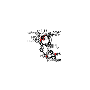 CCCCCCOC(CNC1(C)CC(OC2C(Oc3c4cc5cc3Oc3ccc(cc3Cl)[C@@H](O)[C@@H]3NC(=O)C(NC(=O)C5NC(=O)C(CC(N)=O)NC(=O)[C@@H](NC(=O)[C@@H](CC(C)C)NC)C(O)c5ccc(c(Cl)c5)O4)c4ccc(O)c(c4)-c4c(O)cc(O)cc4C(C(=O)O)NC3=O)OC(CO)C(O)C2O)OC(C)C1O)C(=O)O